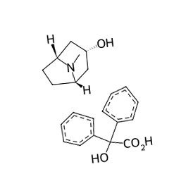 CN1[C@@H]2CC[C@H]1C[C@@H](O)C2.O=C(O)C(O)(c1ccccc1)c1ccccc1